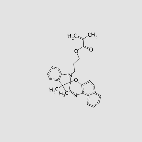 C=C(C)C(=O)OCCCN1c2ccccc2C(C)(C)C12C=Nc1c(ccc3ccccc13)O2